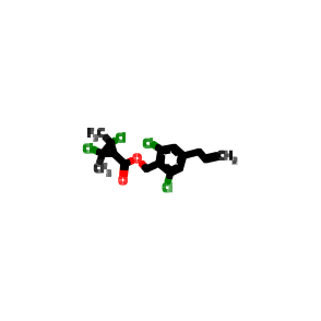 C=CCc1cc(Cl)c(COC(=O)C2C(Cl)(C(F)(F)F)C2(Cl)C(F)(F)F)c(Cl)c1